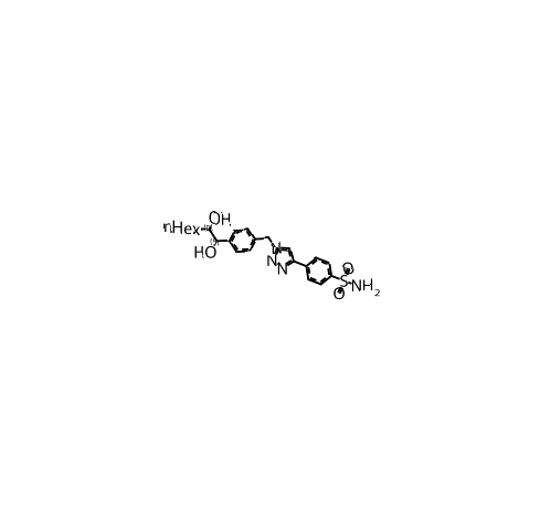 CCCCCC[C@@H](O)[C@@H](O)c1ccc(Cn2cc(-c3ccc(S(N)(=O)=O)cc3)nn2)cc1